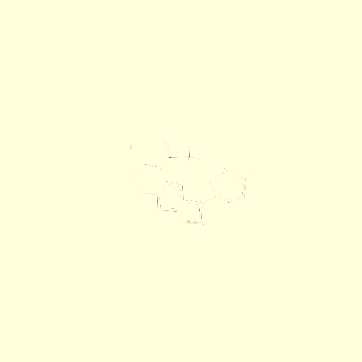 CC(C)[C@H](NC(=O)C(C)(F)F)[C@@H](C)Oc1ccc2c(cnn2-c2ccc(F)nc2)c1